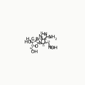 C[C@@]1(Br)C(O)C(CO)O[C@H]1n1cc(C=NO)c2c(N)ncnc21